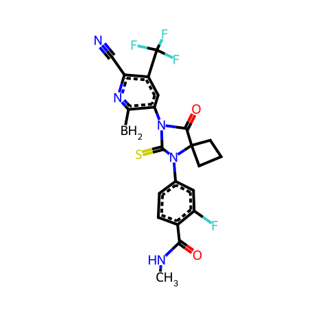 Bc1nc(C#N)c(C(F)(F)F)cc1N1C(=O)C2(CCC2)N(c2ccc(C(=O)NC)c(F)c2)C1=S